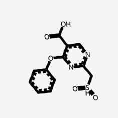 O=C(O)c1cnc(C[SH](=O)=O)nc1Oc1ccccc1